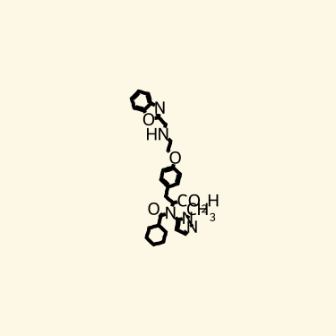 Cn1nccc1N(C(=O)C1CCCCC1)C(Cc1ccc(OCCNCc2nc3ccccc3o2)cc1)C(=O)O